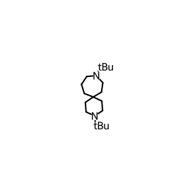 CC(C)(C)N1CCCC2(CC1)CCN(C(C)(C)C)CC2